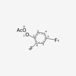 CC(=O)OOc1ccc(F)cc1F